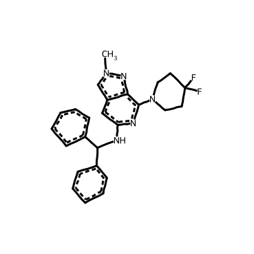 Cn1cc2cc(NC(c3ccccc3)c3ccccc3)nc(N3CCC(F)(F)CC3)c2n1